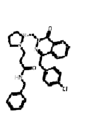 O=C(CCN1CCC[C@@H]1Cn1nc(Cc2ccc(Cl)cc2)c2ccccc2c1=O)NCc1ccccc1